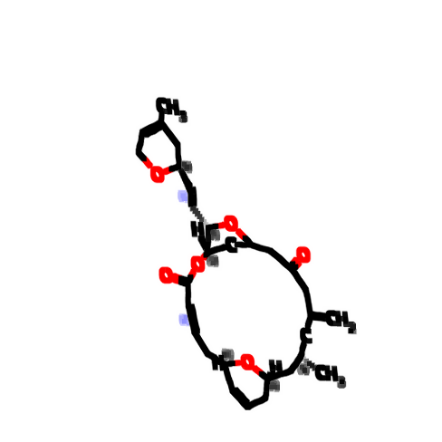 C=C1CC(=O)CC2C[C@H](OC(=O)/C=C\C[C@@H]3C=CC[C@@H](C[C@@H](C)C1)O3)[C@H](/C=C/[C@@H]1CC(C)=CCO1)O2